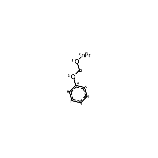 CCCO[CH]Oc1ccccc1